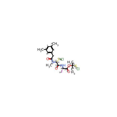 Cc1cc(C)cc(CC(=O)N(C)[C@@H](SCl)C(=O)N[C@@H](I)C(=O)OC(C)(C)SCl)c1